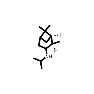 CC(C)NC1CC2C[C@H]([C@H]1C)C2(C)C